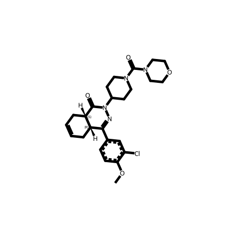 COc1ccc(C2=NN(C3CCN(C(=O)N4CCOCC4)CC3)C(=O)[C@H]3CC=CC[C@@H]23)cc1Cl